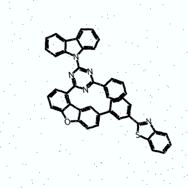 c1ccc(-c2nc(-c3cccc4oc5ccc(-c6cccc(-c7nc8ccccc8s7)c6)cc5c34)nc(-n3c4ccccc4c4ccccc43)n2)cc1